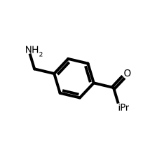 CC(C)C(=O)c1ccc(CN)cc1